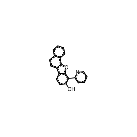 Oc1ccc2c(oc3c4ccccc4ccc23)c1-c1ccccn1